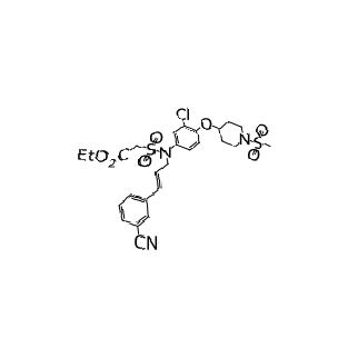 CCOC(=O)CS(=O)(=O)N(C/C=C/c1cccc(C#N)c1)c1ccc(OC2CCN(S(C)(=O)=O)CC2)c(Cl)c1